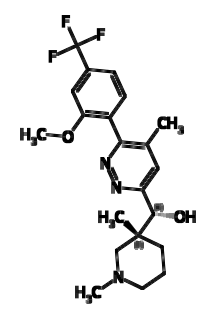 COc1cc(C(F)(F)F)ccc1-c1nnc([C@H](O)[C@]2(C)CCCN(C)C2)cc1C